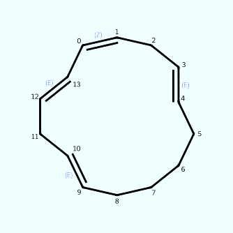 C1=C\C/C=C/CCCC/C=C/C/C=C/1